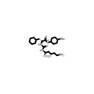 CC(C)(C)C1CCC(NC(=O)[C@@H](CC2CCCCC2)NC(=O)N[C@@H](CCCCN)C(=O)O)CC1